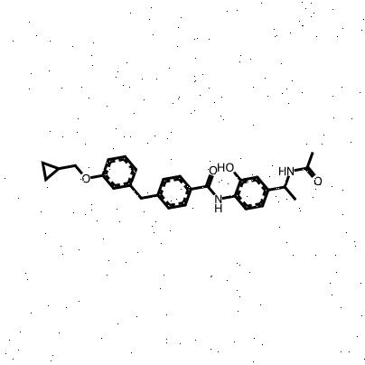 CC(=O)NC(C)c1ccc(NC(=O)c2ccc(Cc3cccc(OCC4CC4)c3)cc2)c(O)c1